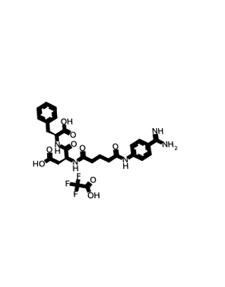 N=C(N)c1ccc(NC(=O)CCCC(=O)N[C@@H](CC(=O)O)C(=O)N[C@@H](Cc2ccccc2)C(=O)O)cc1.O=C(O)C(F)(F)F